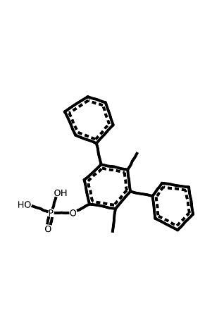 Cc1c(OP(=O)(O)O)cc(-c2ccccc2)c(C)c1-c1ccccc1